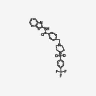 O=C(Nc1nc2ccccc2s1)c1ccc(CN2CCN(S(=O)(=O)c3ccc(C(F)(F)F)cc3)CC2)cc1